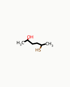 CC(O)CCC(C)S